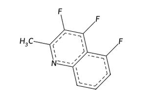 Cc1nc2cccc(F)c2c(F)c1F